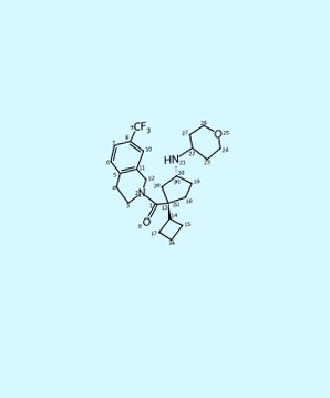 O=C(N1CCc2ccc(C(F)(F)F)cc2C1)[C@@]1(C2CCC2)CC[C@@H](NC2CCOCC2)C1